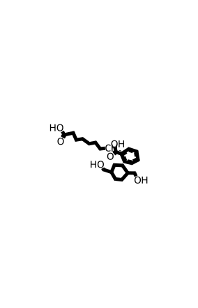 CCCCCCCC(=O)O.O=C(O)c1ccccc1.OCC1CCC(CO)CC1